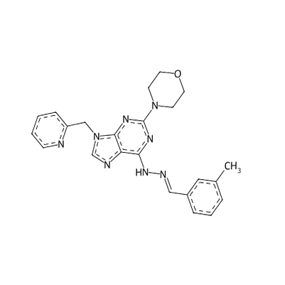 Cc1cccc(C=NNc2nc(N3CCOCC3)nc3c2ncn3Cc2ccccn2)c1